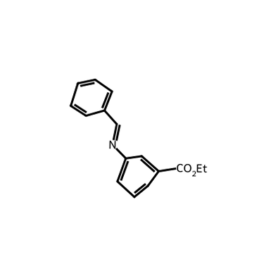 CCOC(=O)c1cccc(N=Cc2ccccc2)c1